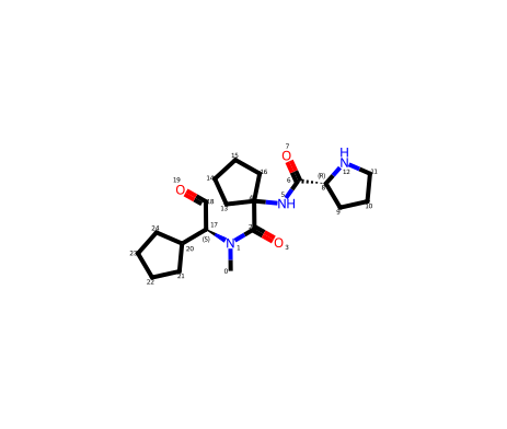 CN(C(=O)C1(NC(=O)[C@H]2CCCN2)CCCC1)[C@H](C=O)C1CCCC1